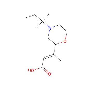 CCC(C)(C)N1CCO[C@H](/C(C)=C/C(=O)O)C1